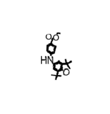 CCOC(=O)c1ccc(Nc2cc(C(C)(C)C)c3c(c2)C(C)(C)CO3)cc1